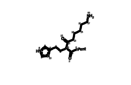 CCCCCC(=O)N(CCc1c[nH]cn1)C(=O)CCCCCN